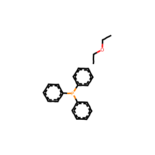 CCOCC.c1ccc(P(c2ccccc2)c2ccccc2)cc1